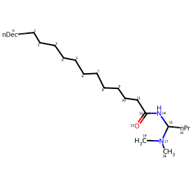 CCCCCCCCCCCCCCCCCCCCCC(=O)NC(CCC)N(C)C